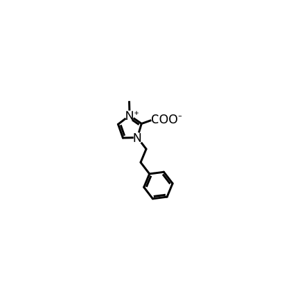 C[n+]1ccn(CCc2ccccc2)c1C(=O)[O-]